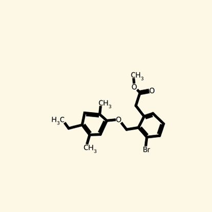 CCc1cc(C)c(OCc2c(Br)cccc2CC(=O)OC)cc1C